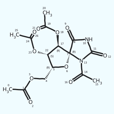 CC(=O)OC[C@H]1O[C@@]2(C(=O)NC(=O)N2C(C)=O)[C@H](OC(C)=O)[C@H]1OC(C)=O